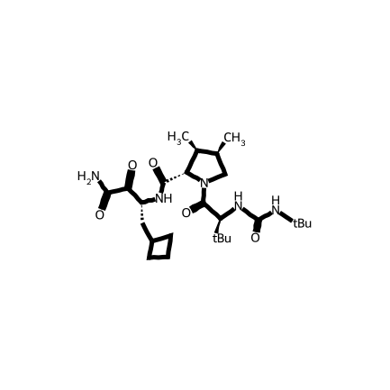 C[C@@H]1[C@@H](C(=O)N[C@H](CC2CCC2)C(=O)C(N)=O)N(C(=O)[C@@H](NC(=O)NC(C)(C)C)C(C)(C)C)C[C@@H]1C